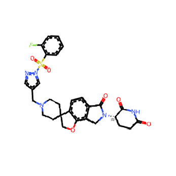 O=C1CC[C@H](N2Cc3c(ccc4c3OCC43CCN(Cc4cnn(S(=O)(=O)c5ccccc5F)c4)CC3)C2=O)C(=O)N1